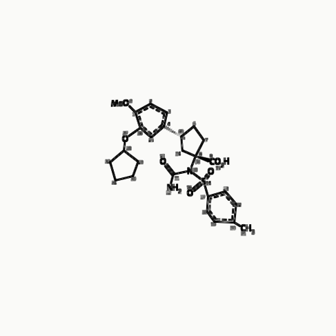 COc1ccc([C@@H]2CC[C@](C(=O)O)(N(C(N)=O)S(=O)(=O)c3ccc(C)cc3)C2)cc1OC1CCCC1